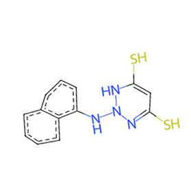 SC1=CC(S)=NN(Nc2cccc3ccccc23)N1